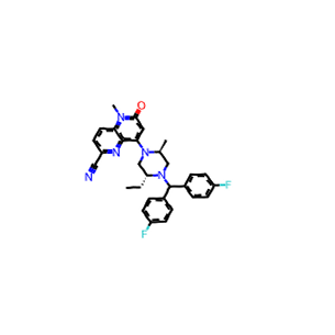 CC[C@@H]1CN(c2cc(=O)n(C)c3ccc(C#N)nc23)[C@@H](C)CN1C(c1ccc(F)cc1)c1ccc(F)cc1